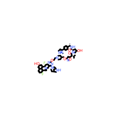 C#Cc1c(F)ccc2cc(O)cc(-c3ncc4c(N5CCC6CNC(C6)C5)nc(OCCN5CCC(COc6cc([C@H](C(=O)N7C[C@H](O)C[C@H]7C(=O)N[C@@H](C)c7ccc(-c8ccnn8C)cc7)C(C)C)on6)CC5)nc4c3F)c12